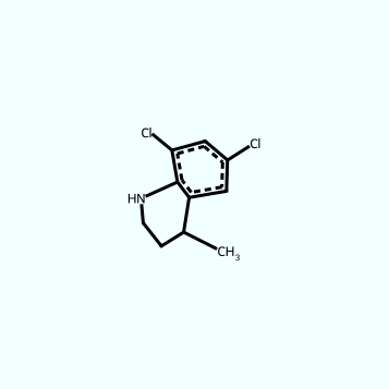 CC1CCNc2c(Cl)cc(Cl)cc21